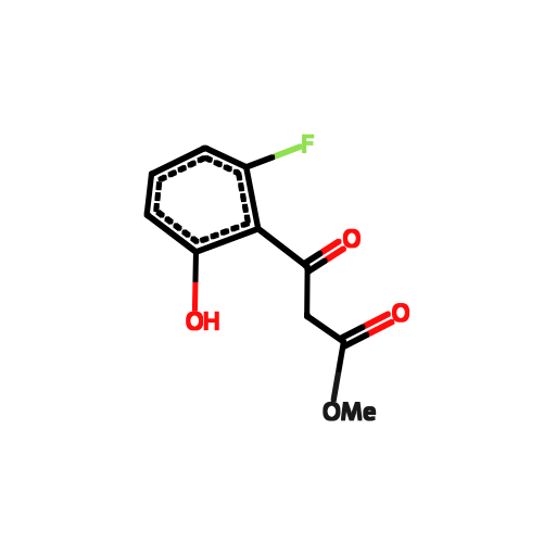 COC(=O)CC(=O)c1c(O)cccc1F